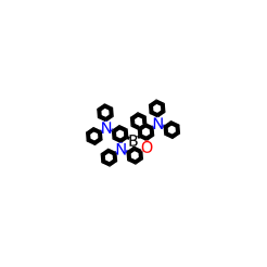 c1ccc(N(c2ccccc2)c2ccc3c(c2)N(c2ccccc2)c2cccc4c2B3c2c(cc(N(c3ccccc3)c3ccccc3)c3ccccc23)O4)cc1